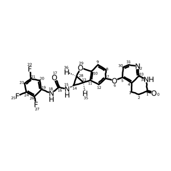 O=C1CCc2c(Oc3ccc4c(c3)[C@H]3[C@H](NC(=O)Nc5cc(F)cc(F)c5F)[C@H]3O4)ccnc2N1